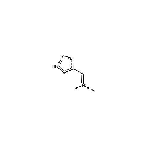 C[N+](C)=Cc1cc[nH]c1